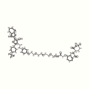 O=C(COc1cccc2c1CN(C1CCC(=O)NC1=O)C2=O)NCCOCCOCCOCCOc1ccc(CCc2c(-c3ccc(C(F)(F)F)cc3)nn(-c3nc4ncccc4[nH]3)c2O)cc1